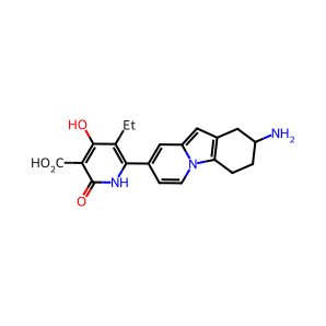 CCc1c(-c2ccn3c4c(cc3c2)CC(N)CC4)[nH]c(=O)c(C(=O)O)c1O